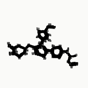 COC[C@H](C)Oc1ccc(-c2nnc(CN3CCNC(=O)C3)n2-c2ccc(OC)nc2)cc1